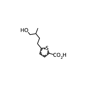 CC(CO)CCc1ccc(C(=O)O)s1